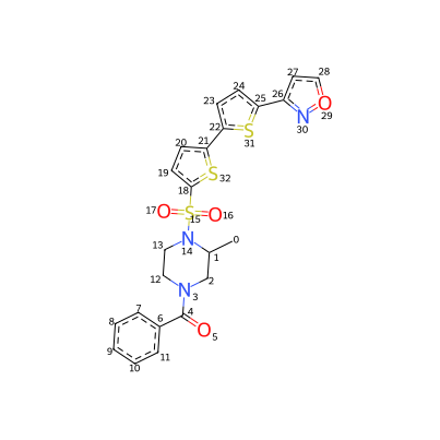 CC1CN(C(=O)c2ccccc2)CCN1S(=O)(=O)c1ccc(-c2ccc(-c3ccon3)s2)s1